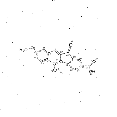 COc1ccc(OC)c(C=C2Oc3ccc(C(=O)O)cc3C2=O)c1